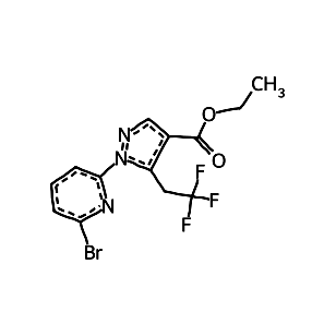 CCOC(=O)c1cnn(-c2cccc(Br)n2)c1CC(F)(F)F